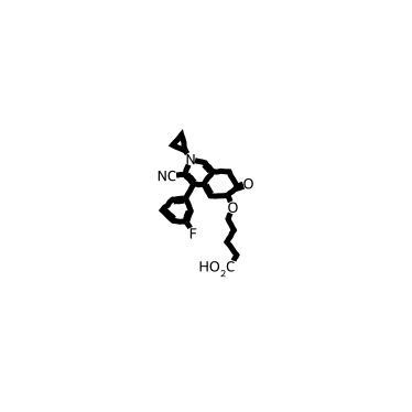 N#CC1=C(c2cccc(F)c2)C2=CC(OCCCCC(=O)O)C(=O)CC2=CN1C1CC1